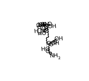 CCC(O)CC(O)CC(O)CC1(O)CCC(C(=O)O)[C@H](CC(/C=C/C=C/C=C/C=C\C=C/C=C/C=C/[C@H](C)C(OC(=O)C[C@H](O)CC(=O)CCO)[C@@H](C)CCC(O)CC(=O)c2ccc(N)cc2)OC2OCC(O)[C@H](N)[C@@H]2O)O1